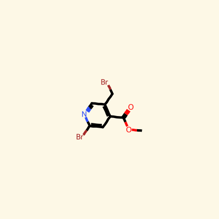 COC(=O)c1cc(Br)ncc1CBr